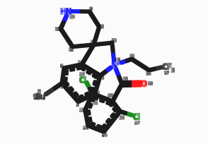 CC(C)(C)c1ccc2c(c1)C1(CCNCC1)C[N+]2(CCC(F)(F)F)C(=O)c1c(Cl)cccc1Cl